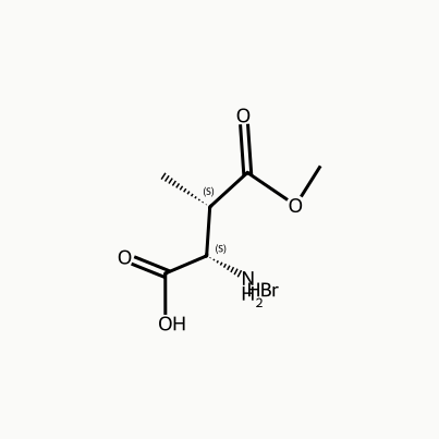 Br.COC(=O)[C@@H](C)[C@H](N)C(=O)O